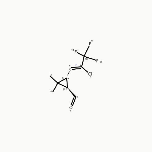 CC1(C)[C@H](C=O)[C@H]1/C=C(\Cl)C(F)(F)F